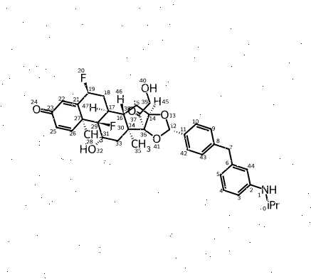 CC(C)Nc1cccc(Cc2ccc([C@H]3O[C@@H]4C[C@H]5[C@@H]6C[C@H](F)C7=CC(=O)C=C[C@]7(C)[C@@]6(F)[C@@H](O)C[C@]5(C)[C@]4(C(=O)CO)O3)cc2)c1